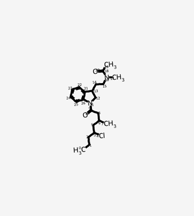 CCCC(Cl)CC(C)CC(=O)N1CC(CCN(C)C(C)=O)c2ccccc21